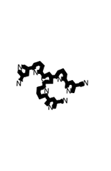 N#Cc1cncc(-c2cccc(-c3cc(-c4cccc(-c5cncc(C#N)c5)n4)cc(-c4cccc(-c5cncc(C#N)c5)n4)c3)n2)c1